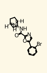 O=C(N[C@@H]1C[C@H]2CC[C@@H]1N2)c1ncc(-c2ccccc2Br)o1